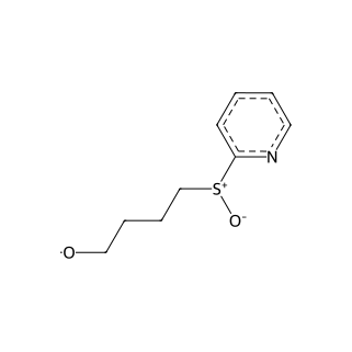 [O]CCCC[S+]([O-])c1ccccn1